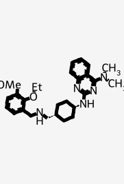 CCOc1c(CNC[C@H]2CC[C@@H](Nc3nc(N(C)C)c4ccccc4n3)CC2)cccc1OC